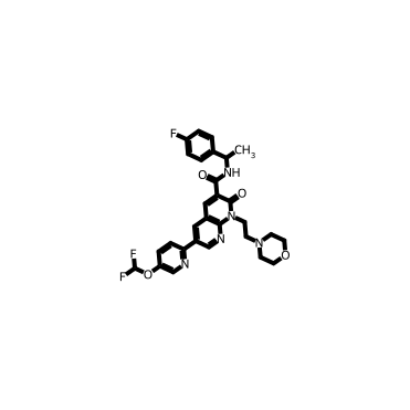 CC(NC(=O)c1cc2cc(-c3ccc(OC(F)F)cn3)cnc2n(CCN2CCOCC2)c1=O)c1ccc(F)cc1